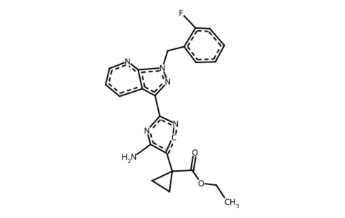 CCOC(=O)C1(c2cnc(-c3nn(Cc4ccccc4F)c4ncccc34)nc2N)CC1